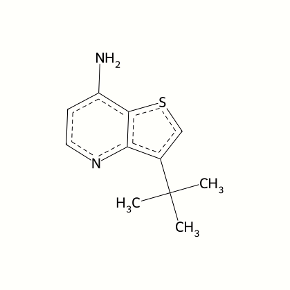 CC(C)(C)c1csc2c(N)ccnc12